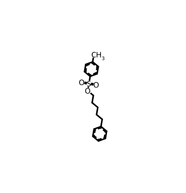 Cc1ccc(S(=O)(=O)OCCCCCc2ccccc2)cc1